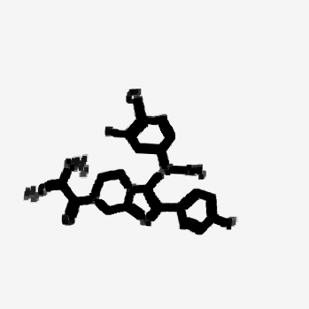 C=C(N)C(=O)N1CCn2c(nc(-c3ccc(F)cc3)c2N(N)c2ccc(Cl)c(F)c2)C1